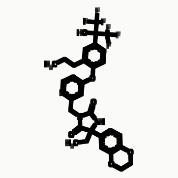 CCCc1cc(C(O)(C(F)(F)F)C(F)(F)F)ccc1Oc1ccnc(CN2C(=O)NC(CC)(c3ccc4c(c3)OCCO4)C2=O)c1